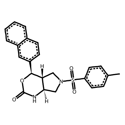 Cc1ccc(S(=O)(=O)N2C[C@@H]3[C@@H](C2)NC(=O)O[C@H]3c2ccc3ccccc3c2)cc1